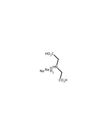 O.O=C(O)CNCC(=O)O.[Na].[Na]